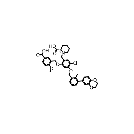 COc1ccc(C(=O)O)cc1COc1cc(OCc2cccc(-c3ccc4c(c3)OCCO4)c2C)c(Cl)cc1CN1CCCC[C@H]1C(=O)O